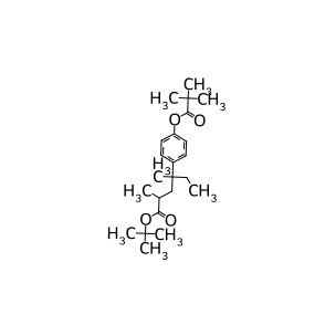 CCC(C)(CC(C)C(=O)OC(C)(C)C)c1ccc(OC(=O)C(C)(C)C)cc1